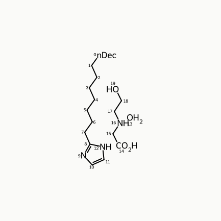 CCCCCCCCCCCCCCCCCc1ncc[nH]1.O.O=C(O)CNCCO